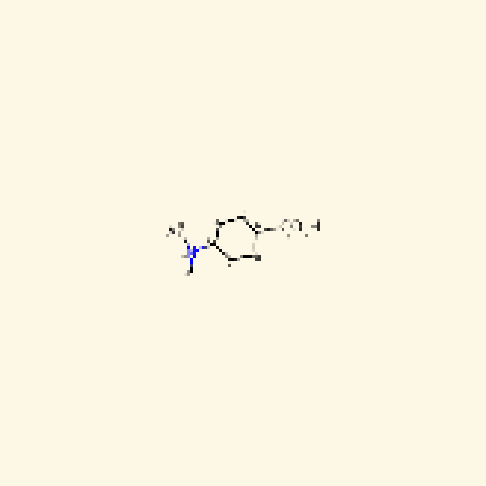 CC(=O)N(C)C1CCC(C(=O)O)CC1